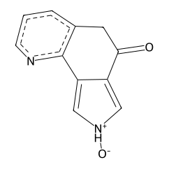 O=C1Cc2cccnc2C2=C[NH+]([O-])C=C12